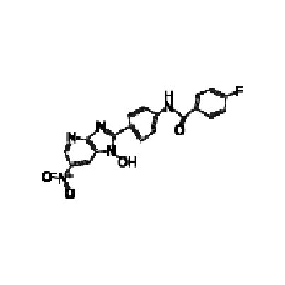 O=C(Nc1ccc(-c2nc3ncc([N+](=O)[O-])cc3n2O)cc1)c1ccc(F)cc1